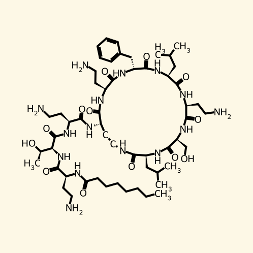 CCCCCCCC(=O)N[C@@H](CCN)C(=O)N[C@H](C(=O)N[C@@H](CCN)C(=O)N[C@H]1CCNC(=O)[C@H](CC(C)C)NC(=O)[C@H](CO)NC(=O)[C@H](CCN)NC(=O)[C@H](CC(C)C)NC(=O)[C@@H](Cc2ccccc2)NC(=O)[C@H](CCN)NC1=O)[C@@H](C)O